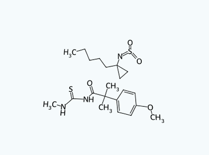 CCCCCC1(N=S(=O)=O)CC1.CNC(=S)NC(=O)C(C)(C)c1ccc(OC)cc1